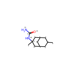 CC1CC2CC(C1)CC(C)(NC(N)=O)C2